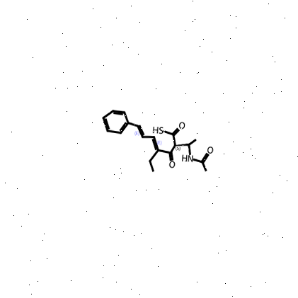 CC/C(=C\C=C\c1ccccc1)C(=O)[C@@H](C(=O)S)C(C)NC(C)=O